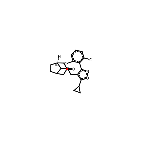 O=C1CC2CC[C@@H](C1)C2OCc1c(-c2c(Cl)cccc2Cl)noc1C1CC1